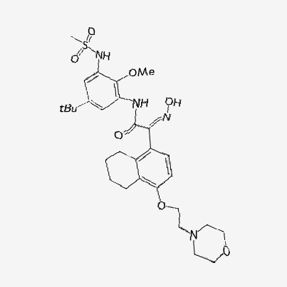 COc1c(NC(=O)/C(=N\O)c2ccc(OCCN3CCOCC3)c3c2CCCC3)cc(C(C)(C)C)cc1NS(C)(=O)=O